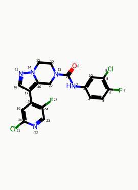 O=C(Nc1ccc(F)c(Cl)c1)N1CCn2ncc(-c3cc(Cl)ncc3F)c2C1